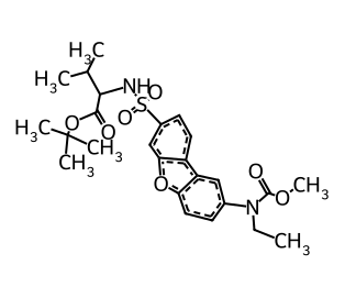 CCN(C(=O)OC)c1ccc2oc3cc(S(=O)(=O)NC(C(=O)OC(C)(C)C)C(C)C)ccc3c2c1